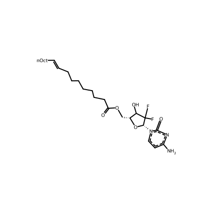 CCCCCCCC/C=C/CCCCCCCC(=O)OC[C@H]1O[C@@H](n2ccc(N)nc2=O)C(F)(F)C1O